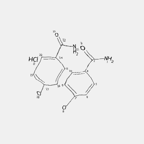 Cl.NC(=O)c1ccc(Cl)cc1.NC(=O)c1ccc(Cl)cc1